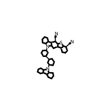 N#Cc1cccc2c1sc1c(C#N)c3c4ccccc4n(-c4cccc(-c5cccc(-n6c7ccccc7c7ccccc76)c5)c4)c3cc12